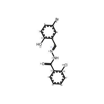 O=C(N/N=C/c1cc(Br)ccc1O)c1ccccc1Cl